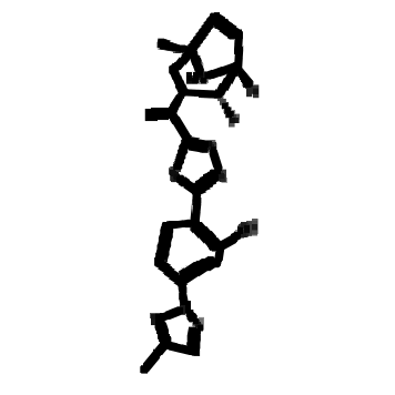 C=C(c1nnc(-c2ccc(-n3ncc(C)n3)cc2O)s1)[C@H]1C[C@]2(C)C=C[C@@H](N2)[C@@H]1F